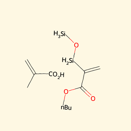 C=C(C)C(=O)O.C=C([SiH2]O[SiH3])C(=O)OCCCC